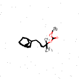 CC(C)(C)OC(=O)OC(CCC1CC2CCC1C2)(C(F)(F)F)C(F)(F)F